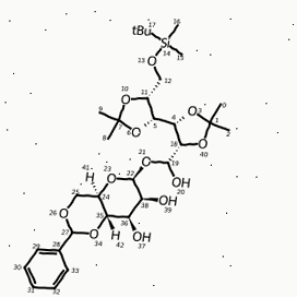 CC1(C)O[C@@H]([C@@H]2OC(C)(C)O[C@@H]2CO[Si](C)(C)C(C)(C)C)[C@@H](C(O)O[C@@H]2O[C@@H]3COC(c4ccccc4)O[C@H]3[C@H](O)[C@@H]2O)O1